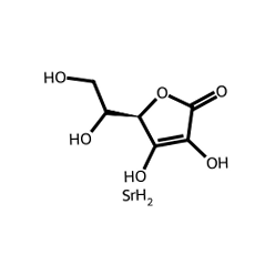 O=C1O[C@H](C(O)CO)C(O)=C1O.[SrH2]